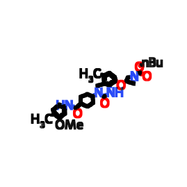 CCCCOC(=O)N1CC(Oc2ccc(C)c3c2NC(=O)N(C2CCC(C(=O)Nc4ccc(C)c(OC)c4)CC2)C3)C1